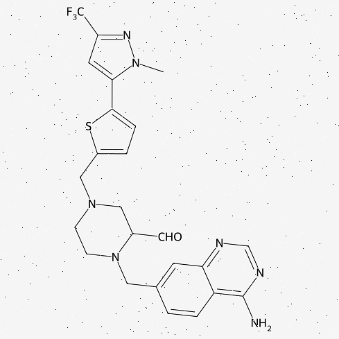 Cn1nc(C(F)(F)F)cc1-c1ccc(CN2CCN(Cc3ccc4c(N)ncnc4c3)C(C=O)C2)s1